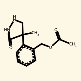 CC(=O)OCc1ccccc1C1(C)CNNC1=O